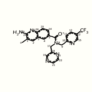 Cc1cc2cc(C(=O)N(Cc3ccc(C(F)(F)F)cn3)Cc3cnccn3)ccc2nc1N